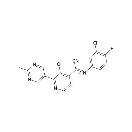 Cc1ncc(-c2nccc(/C(C#N)=N/c3ccc(F)c(Cl)c3)c2O)cn1